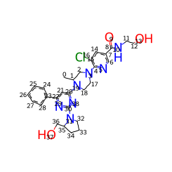 CC1CN(c2ncc(C(=O)NCCO)cc2Cl)CCN1c1cc(-c2ccccc2)nc(N2CCCC2CO)n1